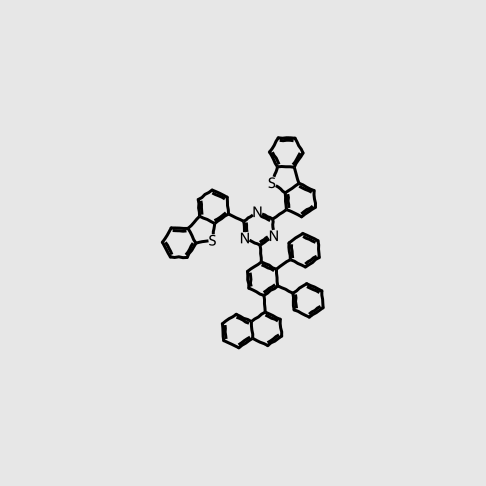 c1ccc(-c2c(-c3nc(-c4cccc5c4sc4ccccc45)nc(-c4cccc5c4sc4ccccc45)n3)ccc(-c3cccc4ccccc34)c2-c2ccccc2)cc1